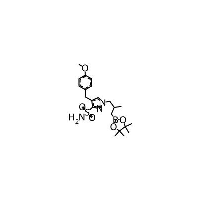 COc1ccc(Cc2cn(CC(C)CB3OC(C)(C)C(C)(C)O3)nc2S(N)(=O)=O)cc1